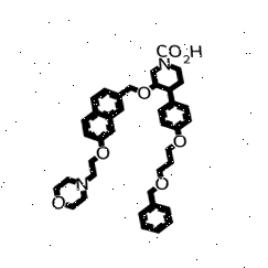 O=C(O)N1CCC(c2ccc(OCCCOCc3ccccc3)cc2)C(OCc2ccc3ccc(OCCN4CCOCC4)cc3c2)C1